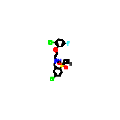 CS(=O)(=O)c1ccc(Cl)cc1CNCCOc1cc(F)ccc1Cl